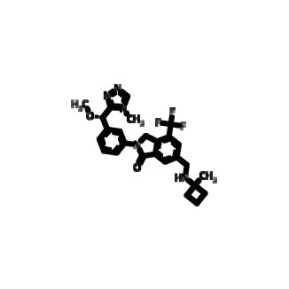 CO[C@@H](c1cccc(N2Cc3c(cc(CNC4(C)CCC4)cc3C(F)(F)F)C2=O)c1)c1nncn1C